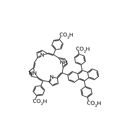 O=C(O)c1ccc(-c2c3nc(c(-c4ccc5c(-c6ccc(C(=O)O)cc6)c6ccccc6c(-c6ccc(C(=O)O)cc6)c5c4)c4ccc([nH]4)c(-c4ccc(C(=O)O)cc4)c4nc(cc5ccc2[nH]5)C=C4)C=C3)cc1